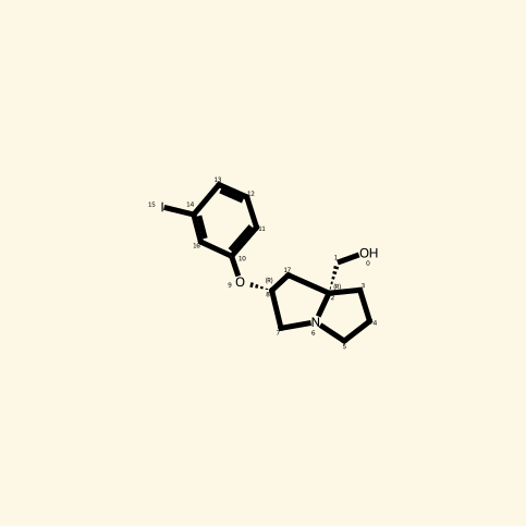 OC[C@]12CCCN1C[C@H](Oc1cccc(I)c1)C2